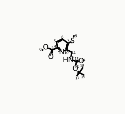 COC(=O)c1ccc(SC)c(CNC(=O)OC(C)(C)C)n1